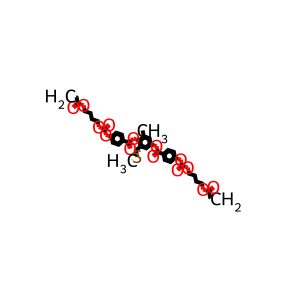 C=CC(=O)OCCCCOC(=O)Oc1ccc(C(=O)Oc2cc(C)c(OC(=O)c3ccc(OC(=O)OCCCCOC(=O)C=C)cc3)c(CSC)c2)cc1